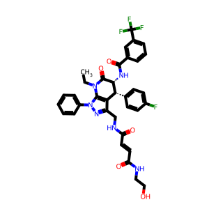 CCN1C(=O)[C@H](NC(=O)c2cccc(C(F)(F)F)c2)[C@H](c2ccc(F)cc2)c2c(CNC(=O)/C=C/C(=O)NCCO)nn(-c3ccccc3)c21